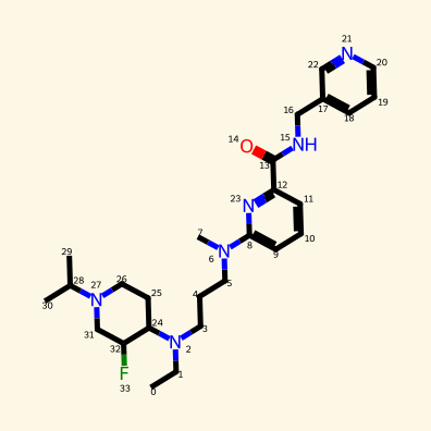 CCN(CCCN(C)c1cccc(C(=O)NCc2cccnc2)n1)C1CCN(C(C)C)CC1F